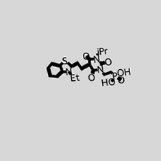 CCN1C(=CC=C2C(=O)N(CCP(=O)(O)O)C(=O)N(C(C)C)C2=O)Sc2ccccc21